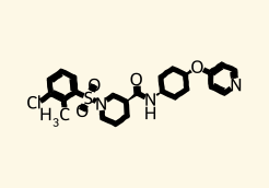 Cc1c(Cl)cccc1S(=O)(=O)N1CCC[C@H](C(=O)N[C@H]2CC[C@H](Oc3ccncc3)CC2)C1